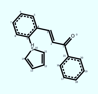 O=C(/C=C/c1ccccc1[SH]1C=CC=C1)c1ccccc1